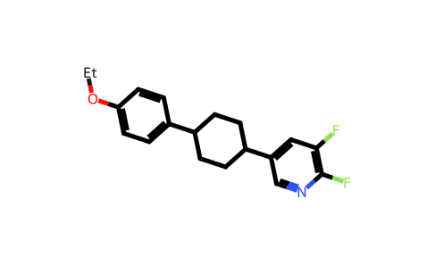 CCOc1ccc(C2CCC(c3cnc(F)c(F)c3)CC2)cc1